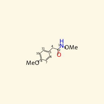 CONC(=O)Cc1ccc(OC)cc1